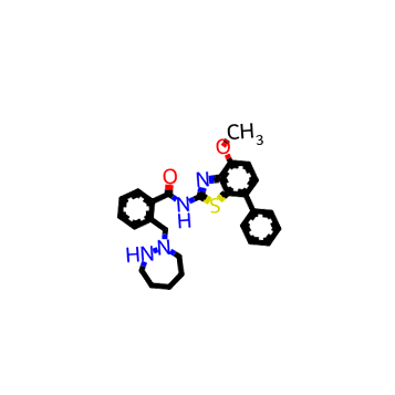 COc1ccc(-c2ccccc2)c2sc(NC(=O)c3ccccc3CN3CCCCCN3)nc12